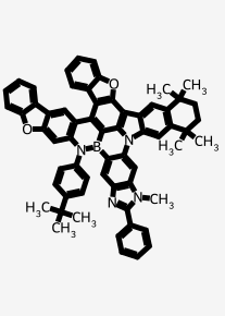 Cn1c(-c2ccccc2)nc2cc3c(cc21)-n1c2cc4c(cc2c2c5oc6ccccc6c5c5c(c21)B3N(c1ccc(C(C)(C)C)cc1)c1cc2oc3ccccc3c2cc1-5)C(C)(C)CCC4(C)C